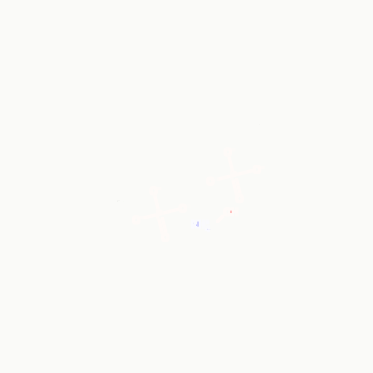 CCO.O=P([O-])([O-])[O-].O=P([O-])([O-])[O-].[Cl-].[Co+2].[Co+2].[Co+2].[NH4+]